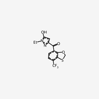 CCn1nc(C(=O)c2ccc(C(F)(F)F)c3c2OCS3)cc1O